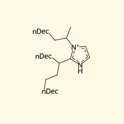 CCCCCCCCCCCCC(CCCCCCCCCC)c1[nH]cc[n+]1C(C)CCCCCCCCCCC